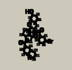 O=C(NC(Cc1ccc(O)cc1)C(=O)N1CCC2C1C(=O)CN2C(=O)c1ccc2ncccc2c1)c1cccc(Br)c1